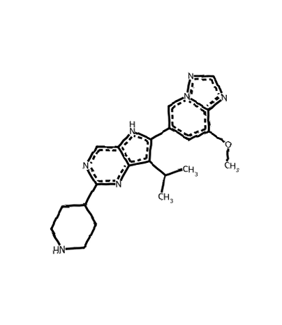 COc1cc(-c2[nH]c3cnc(C4CCNCC4)nc3c2C(C)C)cn2ncnc12